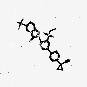 CCS(=O)(=O)c1cc(-c2ccc(C3(C#N)CC3)cc2)cnc1-n1nc2ccc(C(F)(F)F)cn2c1=O